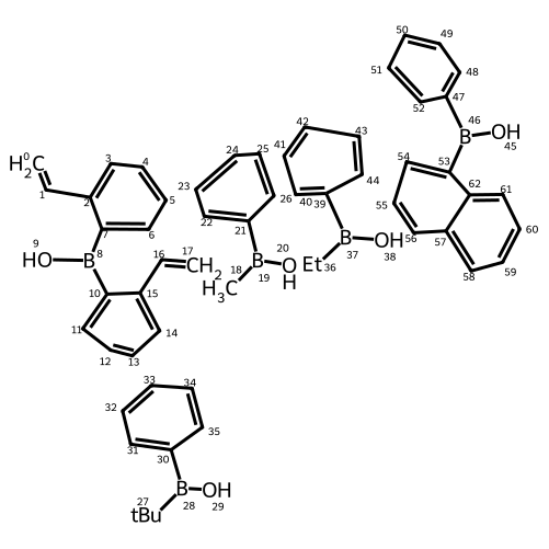 C=Cc1ccccc1B(O)c1ccccc1C=C.CB(O)c1ccccc1.CC(C)(C)B(O)c1ccccc1.CCB(O)c1ccccc1.OB(c1ccccc1)c1cccc2ccccc12